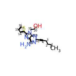 CCCCC#Cc1nc(N)c2nc(-c3cccs3)n(CCO)c2n1